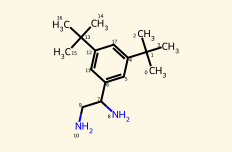 CC(C)(C)c1cc(C(N)CN)cc(C(C)(C)C)c1